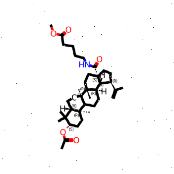 C=C(C)[C@@H]1CC[C@]2(C(=O)NCCCCC(=O)OC)CC[C@]3(C)[C@H](CCC4[C@@]5(C)CC[C@H](OC(C)=O)C(C)(C)[C@@H]5CC[C@]43C)[C@@H]12